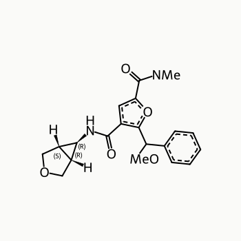 CNC(=O)c1cc(C(=O)N[C@H]2[C@@H]3COC[C@@H]32)c(C(OC)c2ccccc2)o1